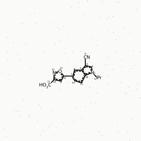 CC(C)n1cc(C#N)c2cc(-c3cc(C(=O)O)no3)ccc21